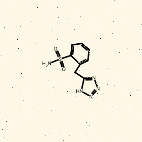 NS(=O)(=O)c1ccccc1Cc1nnn[nH]1